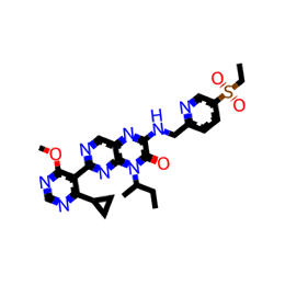 CCC(C)n1c(=O)c(NCc2ccc(S(=O)(=O)CC)cn2)nc2cnc(-c3c(OC)ncnc3C3CC3)nc21